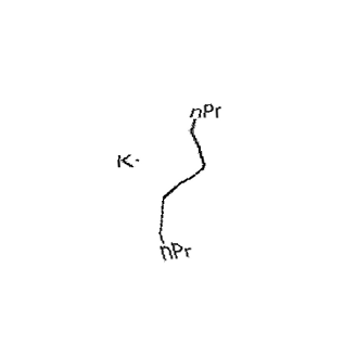 CCCCCCCC.[K]